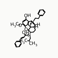 COc1cc(O)c2c3c1O[C@H]1[C@H](N(CC(C)C)C(=O)C=Cc4ccccc4)CC[C@H]4[C@@H](C2)N(CCc2ccccc2)CC[C@@]341